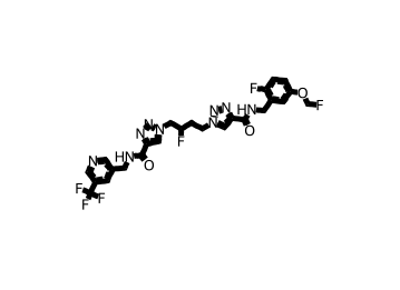 O=C(NCc1cc(OCF)ccc1F)c1cn(CCC(F)Cn2cc(C(=O)NCc3cncc(C(F)(F)F)c3)nn2)nn1